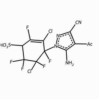 CC(=O)c1c(C#N)nn(C2(F)C(Cl)=C(F)C(S(=O)(=O)O)C(F)(F)C2(F)Cl)c1N